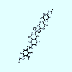 CCCc1ccc(C2CCC(OC(=O)C3CCC4CC(COc5ccc(OCC)c(F)c5F)CCC4C3)CC2)cc1